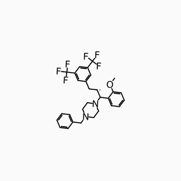 COc1ccccc1C([CH]Cc1cc(C(F)(F)F)cc(C(F)(F)F)c1)N1CCN(Cc2ccccc2)CC1